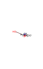 C[N+](C)(C)CC(CC(=O)[O-])OC(=O)C=CCCCCCCCCCCCCCO